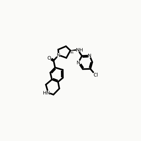 O=C(c1ccc2c(c1)CNCC2)N1CC[C@@H](Nc2ncc(Cl)cn2)C1